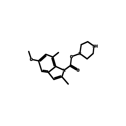 COc1cc(C)c2c(c1)cc(C)n2C(=O)ON1CCNCC1